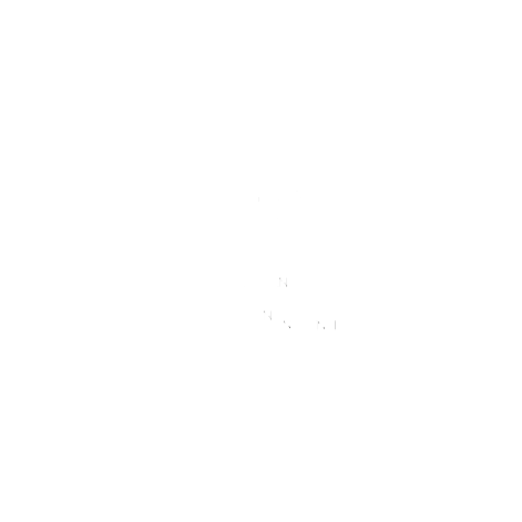 CS(=O)(=O)c1ccc(N2C=C3NC=CN3N=C2c2ccc(F)cc2)cc1